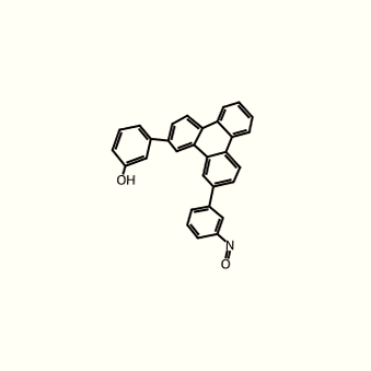 O=Nc1cccc(-c2ccc3c4ccccc4c4ccc(-c5cccc(O)c5)cc4c3c2)c1